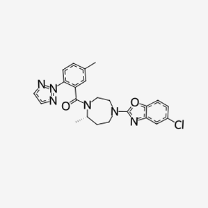 Cc1ccc(-n2nccn2)c(C(=O)N2CCN(c3nc4cc(Cl)ccc4o3)CC[C@@H]2C)c1